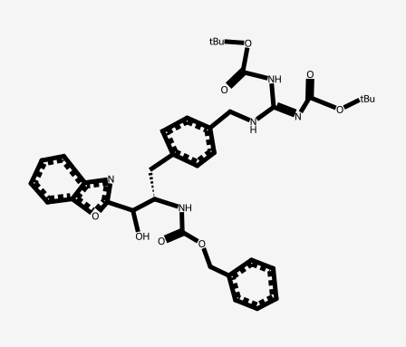 CC(C)(C)OC(=O)/N=C(/NCc1ccc(C[C@H](NC(=O)OCc2ccccc2)C(O)c2nc3ccccc3o2)cc1)NC(=O)OC(C)(C)C